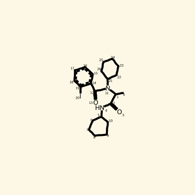 CC(C(=O)NC1CCCCC1)N(C(=O)c1ccccc1I)C1CCCCC1